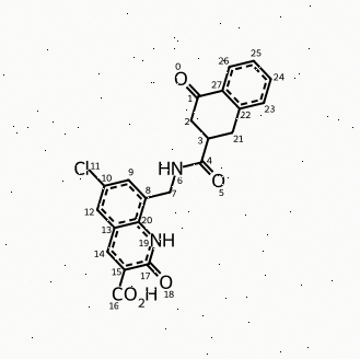 O=C1CC(C(=O)NCc2cc(Cl)cc3cc(C(=O)O)c(=O)[nH]c23)Cc2ccccc21